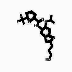 CC(C)Oc1cc2nc(CCCO)cn2cc1NC(=O)c1cccc(C(F)(F)F)n1